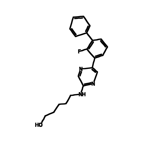 OCCCCCNc1cnc(-c2cccc(-c3ccccc3)c2F)cn1